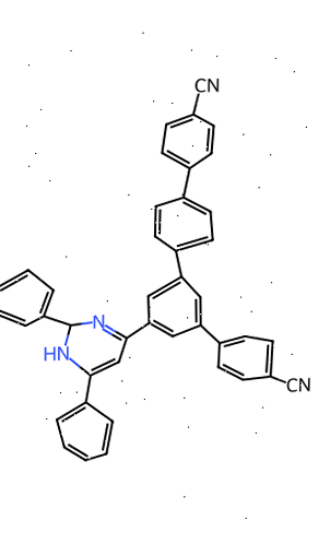 N#Cc1ccc(-c2ccc(-c3cc(C4=NC(c5ccccc5)NC(c5ccccc5)=C4)cc(-c4ccc(C#N)cc4)c3)cc2)cc1